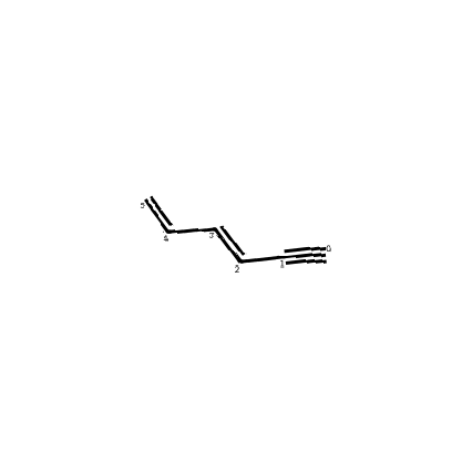 C#C/C=C/[C]=C